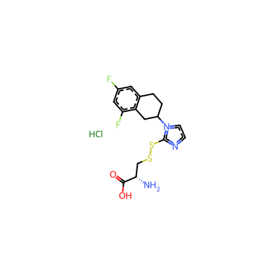 Cl.N[C@@H](CSSc1nccn1C1CCc2cc(F)cc(F)c2C1)C(=O)O